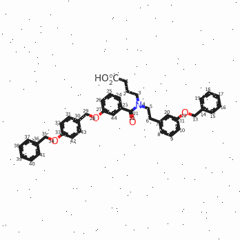 O=C(O)CCCN(CCc1cccc(OCc2ccccc2)c1)C(=O)c1cccc(OCc2ccc(OCc3ccccc3)cc2)c1